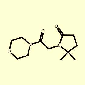 CC1(C)CCC(=O)N1CC(=O)N1CCOCC1